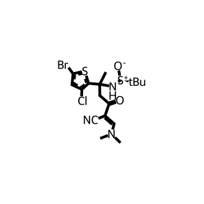 CN(C)/C=C(\C#N)C(=O)CC(C)(N[S@+]([O-])C(C)(C)C)c1sc(Br)cc1Cl